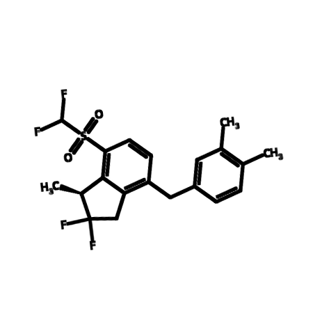 Cc1ccc(Cc2ccc(S(=O)(=O)C(F)F)c3c2CC(F)(F)[C@H]3C)cc1C